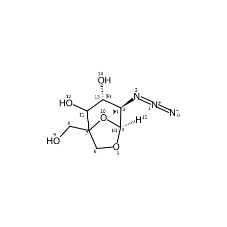 [N-]=[N+]=N[C@H]1[C@H]2OCC(CO)(O2)C(O)[C@@H]1O